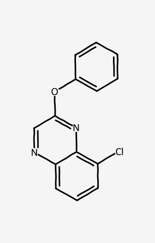 Clc1cccc2ncc(Oc3ccccc3)nc12